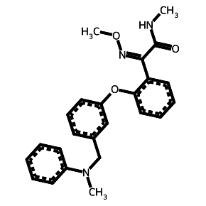 CNC(=O)C(=NOC)c1ccccc1Oc1cccc(CN(C)c2ccccc2)c1